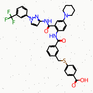 O=C(O)c1ccc(SCc2cccc(C(=O)Nc3ccc(N4CCCCC4)cc3C(=O)Nc3ccn(-c4cccc(C(F)(F)F)c4)n3)c2)cc1